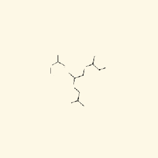 CC(O)COC(C)COC(C)CO.CCCCOC(C)C(=O)O